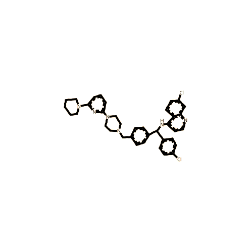 Clc1ccc(C(Nc2ccnc3cc(Cl)ccc23)c2ccc(CN3CCN(c4cccc(N5CCCCC5)n4)CC3)cc2)cc1